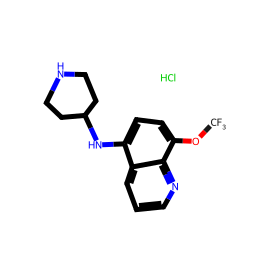 Cl.FC(F)(F)Oc1ccc(NC2CCNCC2)c2cccnc12